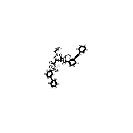 CCCN(C(=O)N[C@H](CSCC(C)C)C(=O)NS(=O)(=O)c1cccc(-c2ccccc2)c1)C(=O)c1cccc(C#CC2C=CC=CC2)c1